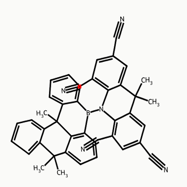 CC1(C)c2cc(C#N)cc(C#N)c2N(B2c3ccccc3C3(C)c4ccccc4C(C)(C)c4cccc2c43)c2c(C#N)cc(C#N)cc21